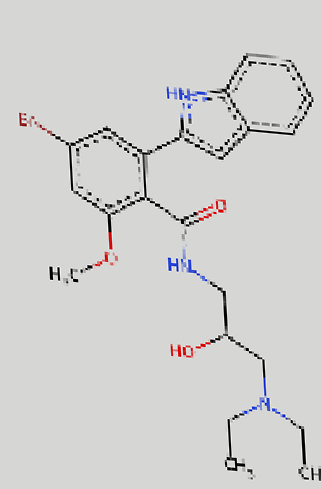 CCN(CC)CC(O)CNC(=O)c1c(OC)cc(Br)cc1-c1cc2ccccc2[nH]1